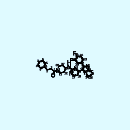 O=C(CCc1ccccc1)N1CCC(Nc2nccc(-c3c(-c4ccc(F)c(F)c4)nc4sccn34)n2)CC1